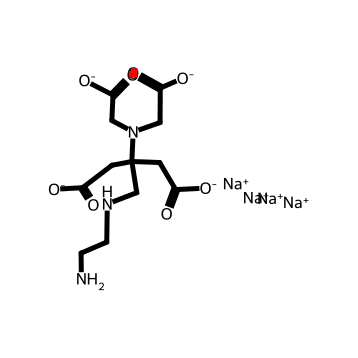 NCCNCC(CC(=O)[O-])(CC(=O)[O-])N(CC(=O)[O-])CC(=O)[O-].[Na+].[Na+].[Na+].[Na+]